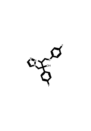 CC(CSc1ccc(F)cc1)C(O)(Cn1ccnn1)c1ccc(F)cc1